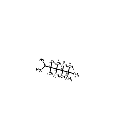 CC(S)C(C)(C)C(C)(C)C(C)(C)C(C)(C)C